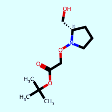 CC(C)(C)OC(=O)CON1CCC[C@H]1CO